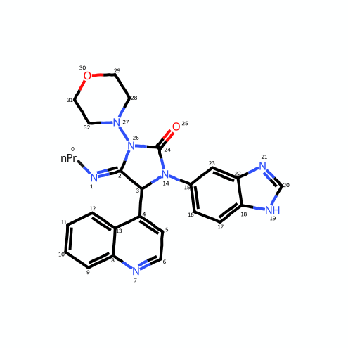 CCCN=C1C(c2ccnc3ccccc23)N(c2ccc3[nH]cnc3c2)C(=O)N1N1CCOCC1